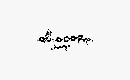 CCC(C)n1ncn(-c2ccc(N3CCN(c4ccc(OC[C@H]5CO[C@](Cn6cncn6)(c6ccc(F)cc6F)O5)cc4)CC3)cc2)c1=O.O=C(O)CCCCC(=O)O